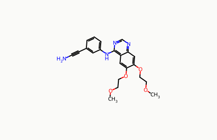 COCCOc1cc2ncnc(Nc3cccc(C#CN)c3)c2cc1OCCOC